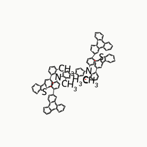 Cc1cc(-c2ccc(N(c3ccc(-c4ccc5c6ccccc6c6ccccc6c5c4)cc3)c3c(C)cccc3-c3ccc4sc5ccccc5c4c3)c(C)c2)ccc1N(c1ccc(-c2ccc3c4ccccc4c4ccccc4c3c2)cc1)c1c(C)cccc1-c1ccc2sc3ccccc3c2c1